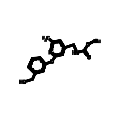 CC(C)(C)OC(=O)NCc1cc(Oc2cccc(CO)c2)nc(C(F)(F)F)c1